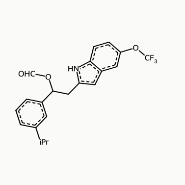 CC(C)c1cccc(C(Cc2cc3cc(OC(F)(F)F)ccc3[nH]2)OC=O)c1